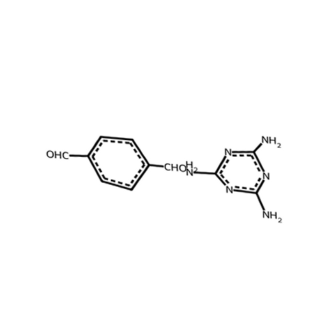 Nc1nc(N)nc(N)n1.O=Cc1ccc(C=O)cc1